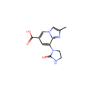 Cc1cn2cc(C(=O)O)cc(N3CCNC3=O)c2n1